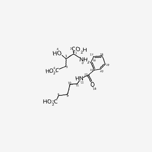 N[C@H](C(=O)O)C(O)CC(=O)O.O=C(O)CCCCNC(=O)c1ccccc1